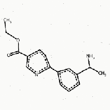 CCOC(=O)c1ccc(-c2cccc(C(C)N)c2)nc1